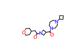 O=C(CC1CCOCC1)N1CC(C(=O)N2CCCN(C3CCC3)CC2)C1